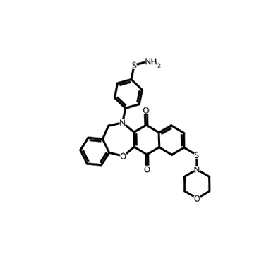 NSc1ccc(N2Cc3ccccc3OC3=C2C(=O)C2=CC=C(SN4CCOCC4)CC2C3=O)cc1